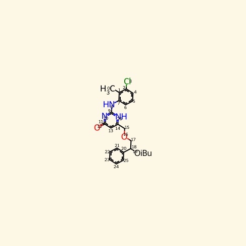 Cc1c(Cl)cccc1Nc1nc(=O)cc(COCC(OCC(C)C)c2ccccc2)[nH]1